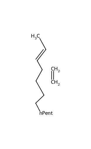 C=C.CC=CCCCCCCCCC